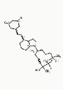 CC(C)(O)CCC[C@@H](CC#CC(C)(O)C(F)(F)F)[C@H]1CCC2/C(=C/C=C3C[C@@H](O)C[C@H](O)C3)CCC[C@@]21C